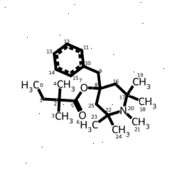 CCC(C)(C)C(=O)OC1(Cc2ccccc2)CC(C)(C)N(C)C(C)(C)C1